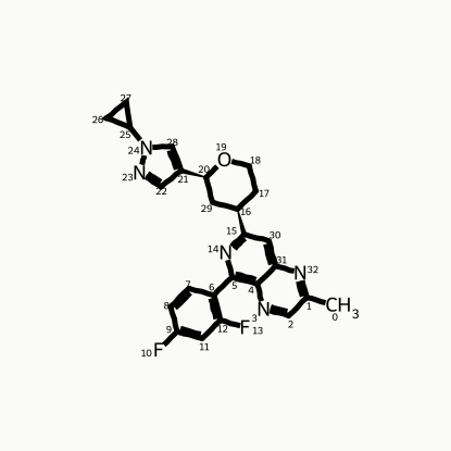 Cc1cnc2c(-c3ccc(F)cc3F)nc([C@@H]3CCO[C@H](c4cnn(C5CC5)c4)C3)cc2n1